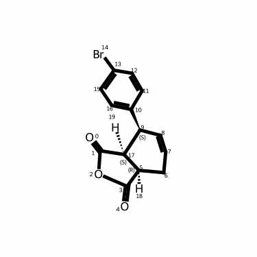 O=C1OC(=O)[C@@H]2CC=C[C@H](c3ccc(Br)cc3)[C@H]12